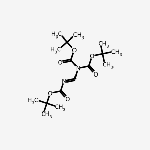 CC(C)(C)OC(=O)/N=[C]/N(C(=O)OC(C)(C)C)C(=O)OC(C)(C)C